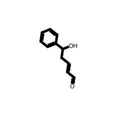 O=CC=CCC(O)c1ccccc1